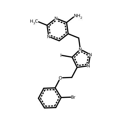 Cc1ncc(Cn2nnc(COc3ccccc3Br)c2I)c(N)n1